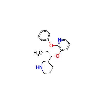 CC[C@H](Oc1cccnc1Oc1ccccc1)[C@H]1CCCNC1